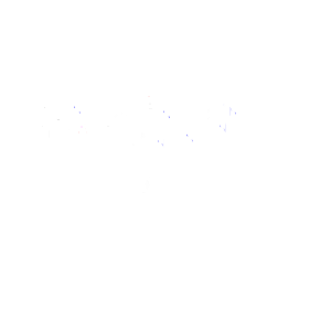 Cn1cc(CN2C(=O)c3cc(S(=O)(=O)NC4(C)CC4)ccc3N3C2=NCC3C#CCO)cn1